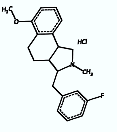 COc1cccc2c1CCC1C2CN(C)C1Cc1cccc(F)c1.Cl